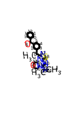 CC(c1cccc(C(=O)c2ccccc2)c1)c1nsc(N=C(N(C)C)N2CCOCC2)n1